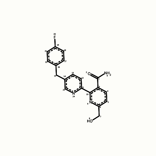 NC(=O)c1ccc(CO)nc1-c1ccc(Cc2ccc(F)cc2)cn1